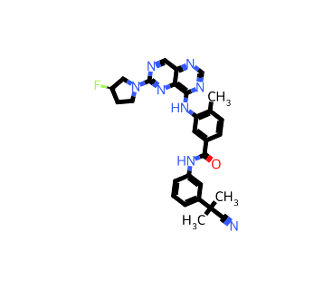 Cc1ccc(C(=O)Nc2cccc(C(C)(C)C#N)c2)cc1Nc1ncnc2cnc(N3CC[C@@H](F)C3)nc12